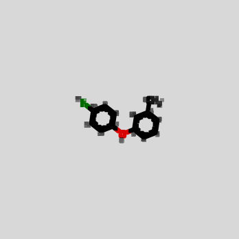 [CH2]c1cccc(Oc2ccc(F)cc2)c1